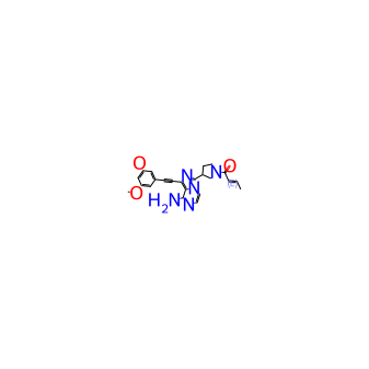 C/C=C/C(=O)N1CCC(c2nc(C#Cc3cc(OC)cc(OC)c3)c3c(N)nccn23)C1